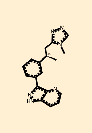 C[C@H](Cc1nncn1C)c1cccc(-c2n[nH]c3cccnc23)c1